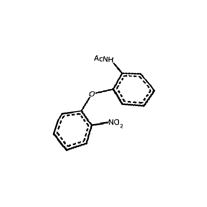 CC(=O)Nc1ccccc1Oc1ccccc1[N+](=O)[O-]